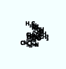 COc1cn(C(Cc2ccn(C)n2)(C(=O)O)C(C)(C)C)c(=O)cc1-c1cc(Cl)ccc1C#N